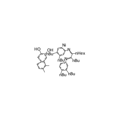 CCCCCCC(=Nc1ccc(CCCC)c(CCCC)c1)C(CCCC)=Nc1ccc(CCCC)c(CCCC)c1.Cc1ccc2cc(O)c(O)cc2c1C.[Ni]